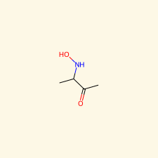 CC(=O)C(C)NO